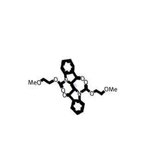 COCCOC(=O)N1/C(=C2\C(=O)c3ccccc3N2C(=O)OCCOC)C(=O)c2ccccc21